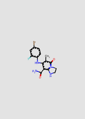 Cc1c(Nc2ccc(Br)cc2F)c(C(N)=O)c2n(c1=O)CCN2